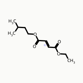 CCOC(=O)/C=C/C(=O)OCCC(C)C